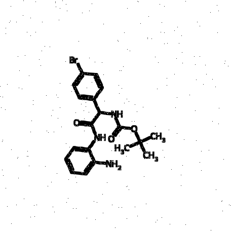 CC(C)(C)OC(=O)NC(C(=O)Nc1ccccc1N)c1ccc(Br)cc1